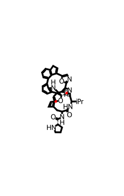 CC(C)C1NC(=O)C(NC(=O)[C@@H]2CCCN2)Cc2ccc3c(c2)C24c5cccc(c5N[C@H]2O3)-c2cccc3c2C(=CC3)c2cnc(o2)-c2nc1oc24